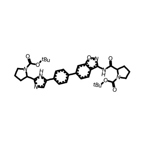 CC(C)(C)OC(=O)N1CCCC1C(=O)Nc1noc2cc(-c3ccc(-c4cnc(C5CCCN5C(=O)OC(C)(C)C)[nH]4)cc3)ccc12